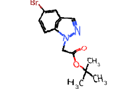 CC(C)(C)OC(=O)Cn1ncc2cc(Br)ccc21